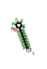 FOc1c(F)c(F)c(F)c(F)c1C(F)(F)C(F)(F)C(F)(F)C(F)(F)C(F)(F)C(F)(F)C(F)(F)C(F)(F)F